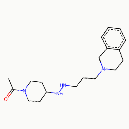 CC(=O)N1CCC(NNCCCN2CCc3ccccc3C2)CC1